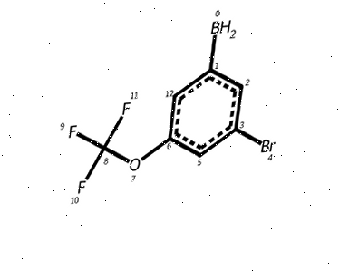 Bc1cc(Br)cc(OC(F)(F)F)c1